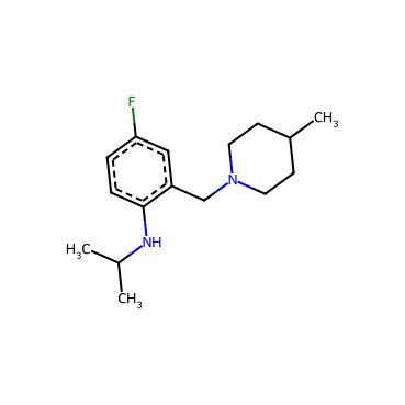 CC1CCN(Cc2cc(F)ccc2NC(C)C)CC1